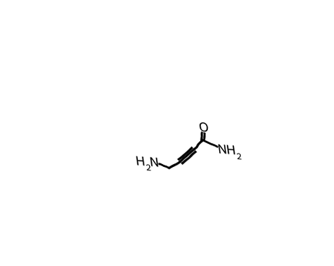 NCC#CC(N)=O